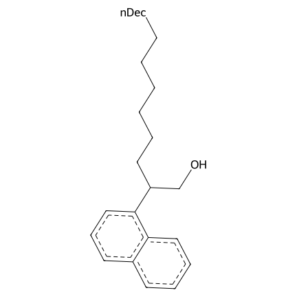 CCCCCCCCCCCCCCCCC(CO)c1cccc2ccccc12